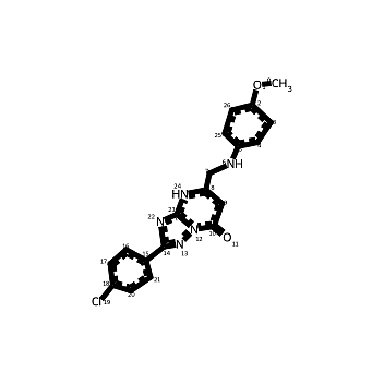 COc1ccc(NCc2cc(=O)n3nc(-c4ccc(Cl)cc4)nc3[nH]2)cc1